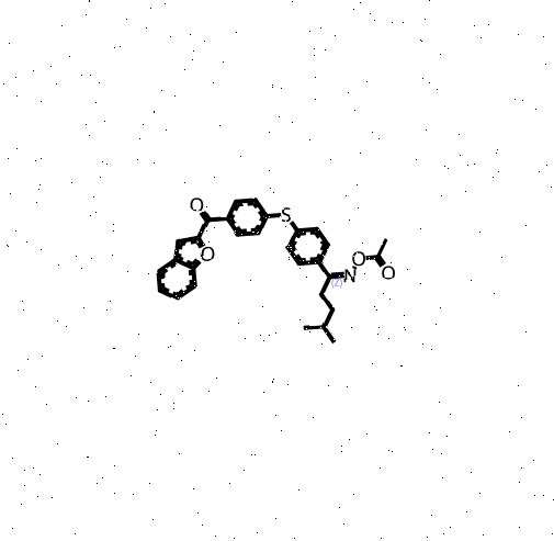 CC(=O)O/N=C(/CCC(C)C)c1ccc(Sc2ccc(C(=O)c3cc4ccccc4o3)cc2)cc1